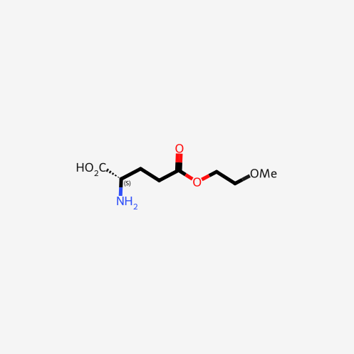 COCCOC(=O)CC[C@H](N)C(=O)O